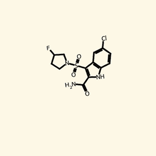 NC(=O)c1[nH]c2ccc(Cl)cc2c1S(=O)(=O)N1CCC(F)C1